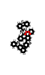 c1ccc(-c2nc(-c3ccc(-n4c5ccccc5c5cc6ccccc6cc54)cc3-c3c4ccccc4cc4sc5ccccc5c34)nc(-c3cccc4sc5ccccc5c34)n2)cc1